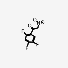 O=C(C[N+](=O)[O-])c1cc(F)c(F)cc1F